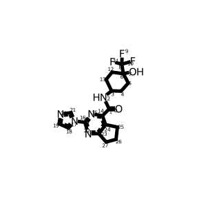 O=C(NC1CCC(O)(C(F)(F)F)CC1)c1nc(-n2ccnc2)nc2c1CCC2